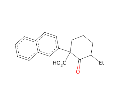 CCC1CCCC(C(=O)O)(c2ccc3ccccc3c2)C1=O